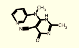 Cc1nc(=O)c(C#N)c(N(C)c2cccnc2)[nH]1